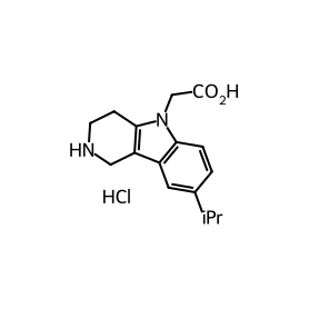 CC(C)c1ccc2c(c1)c1c(n2CC(=O)O)CCNC1.Cl